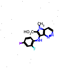 Cn1c(C(=O)O)c(Nc2ccc(I)cc2F)c2nnccc21